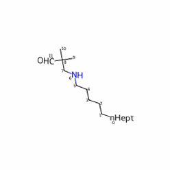 CCCCCCCCCCCCNCC(C)(C)C=O